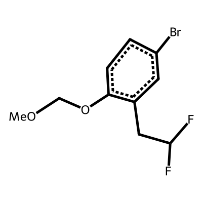 COCOc1ccc(Br)cc1CC(F)F